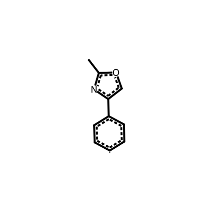 Cc1nc(-c2cc[c]cc2)co1